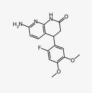 COc1cc(F)c(C2CC(=O)Nc3nc(N)ccc32)cc1OC